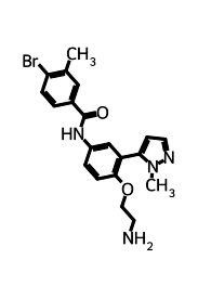 Cc1cc(C(=O)Nc2ccc(OCCN)c(-c3ccnn3C)c2)ccc1Br